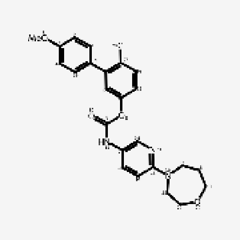 COc1ccc(-c2cc(OC(=O)Nc3ccc(N4CCCOCC4)nc3)ccc2Cl)cc1